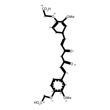 COC1=CC(/C=C/C(=O)CC(=O)/C=C/c2ccc(OCC(=O)O)c(OC)c2)CC=C1OCC(=O)O